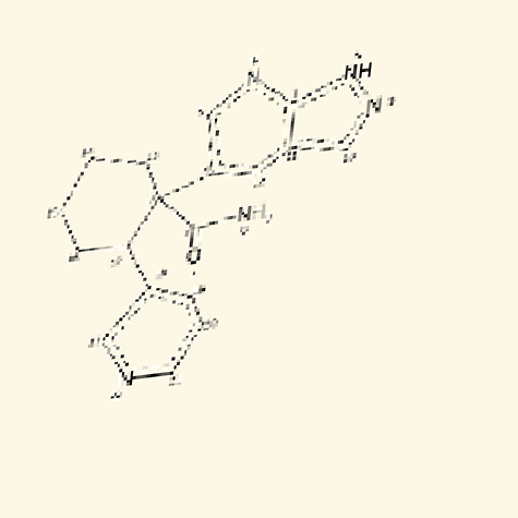 NC(=O)C1(c2cnc3[nH]ncc3c2)CCCCC1c1cccnc1